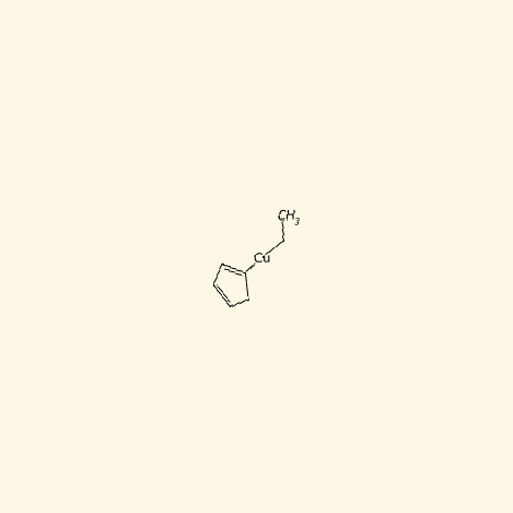 C[CH2][Cu][C]1=CC=CC1